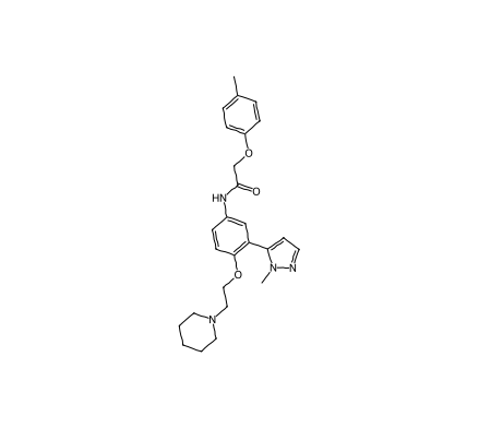 Cc1ccc(OCC(=O)Nc2ccc(OCCN3CCCCC3)c(-c3ccnn3C)c2)cc1